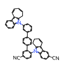 N#Cc1ccc(-n2c3c(c4cc(C#N)ccc42)C=CCC3)c(-c2ccc(-c3cccc(-n4c5c(c6ccccc64)C=CC=CC5)c3)cc2)c1